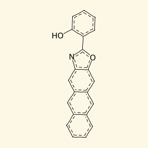 Oc1ccccc1-c1nc2cc3cc4ccccc4cc3cc2o1